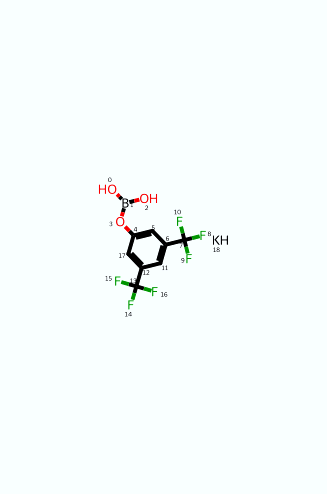 OB(O)Oc1cc(C(F)(F)F)cc(C(F)(F)F)c1.[KH]